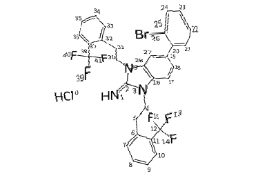 Cl.N=c1n(CCc2ccccc2C(F)(F)F)c2ccc(-c3ccccc3Br)cc2n1CCc1ccccc1C(F)(F)F